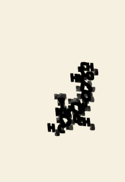 CCC(=O)Nc1ccc2c(c1)C[C@H](CN1CC[C@H](n3c(C4CC4)nc4cc(C)ccc43)[C@@H](OC)C1)C2